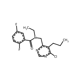 CCCc1c(Cl)ncnc1CN(CC)C(=O)c1cc(F)ccc1F